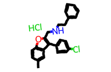 Cc1ccc2oc(CNCCc3ccccc3)c(-c3ccc(Cl)cc3)c2c1.Cl